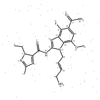 CCn1nc(C)cc1C(=O)Nc1nc2c(F)c(C(N)=O)cc(OC)c2n1C/C=C/CN